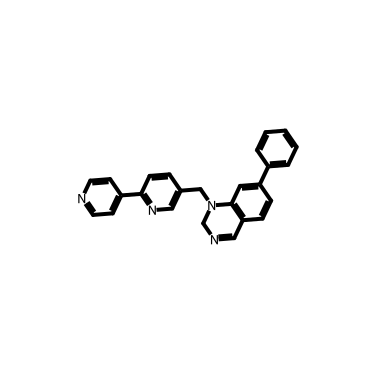 C1=NCN(Cc2ccc(-c3ccncc3)nc2)c2cc(-c3ccccc3)ccc21